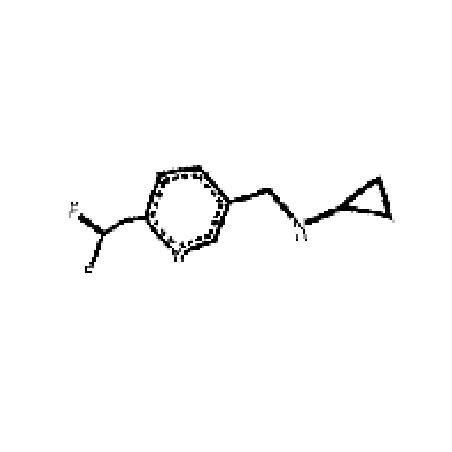 FC(F)c1ccc(CNC2CC2)cn1